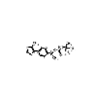 Cc1ncsc1-c1ccc([C@H](C)OC(=O)NC(C)(C)C)cc1